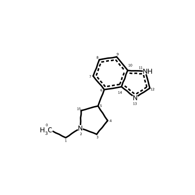 CCN1CCC(c2cccc3[nH]cnc23)C1